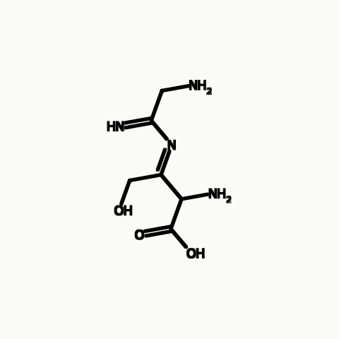 N=C(CN)N=C(CO)C(N)C(=O)O